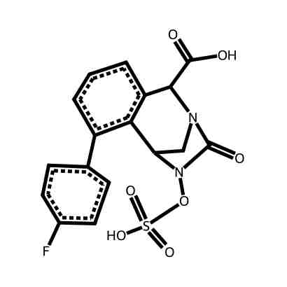 O=C(O)C1c2cccc(-c3ccc(F)cc3)c2C2CN1C(=O)N2OS(=O)(=O)O